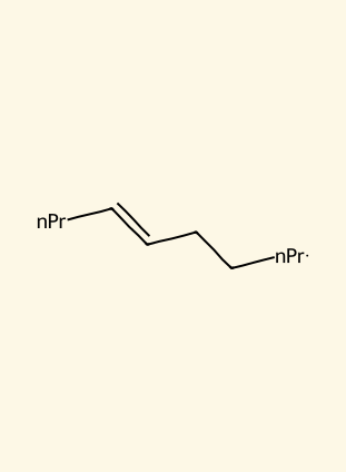 CC[CH]CCC=CCCC